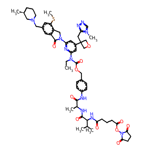 CCN(C(=O)OCc1ccc(NC(=O)C(C)NC(=O)C(NC(=O)CCCC(=O)ON2C(=O)CCC2=O)C(C)C)cc1)c1cc(C2(Cc3nncn3C)COC2)cc(N2Cc3c(SC)cc(CN4CCC[C@H](C)C4)cc3C2=O)n1